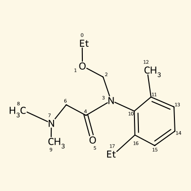 CCOCN(C(=O)CN(C)C)c1c(C)cccc1CC